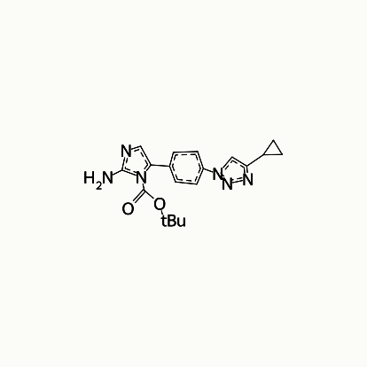 CC(C)(C)OC(=O)n1c(-c2ccc(-n3cc(C4CC4)nn3)cc2)cnc1N